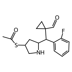 CC(=O)SC1CNC(C(c2ccccc2F)C2(C=O)CC2)C1